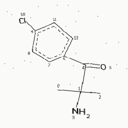 CC(C)(N)C(=O)c1ccc(Cl)cc1